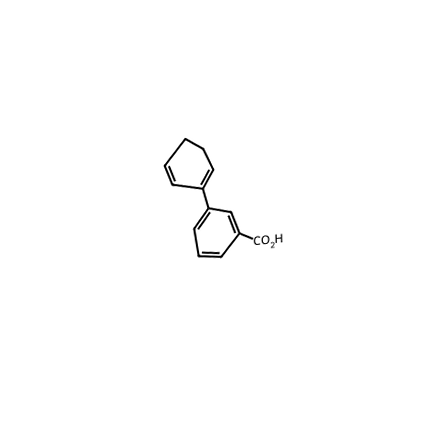 O=C(O)c1cccc(C2=CCCC=C2)c1